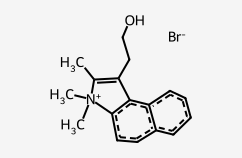 CC1=C(CCO)c2c(ccc3ccccc23)[N+]1(C)C.[Br-]